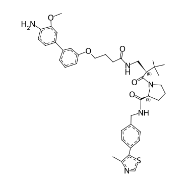 COc1cc(-c2cccc(OCCCC(=O)NC[C@H](C(=O)N3CCC[C@H]3C(=O)NCc3ccc(-c4scnc4C)cc3)C(C)(C)C)c2)ccc1N